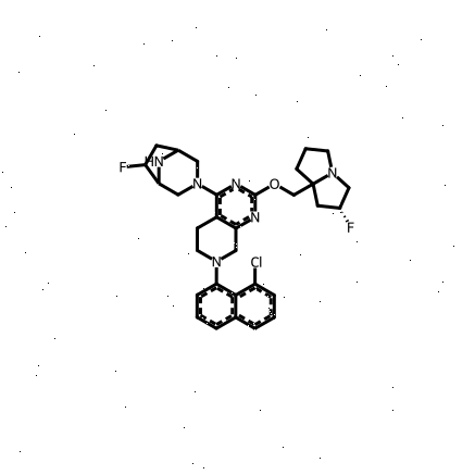 FC1CC2CN(c3nc(OCC45CCCN4C[C@H](F)C5)nc4c3CCN(c3cccc5cccc(Cl)c35)C4)CC1N2